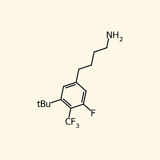 CC(C)(C)c1cc(CCCCN)cc(F)c1C(F)(F)F